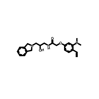 C=Cc1ccc(OCC(=O)NCC(O)CN2Cc3ccccc3C2)cc1N(C)C